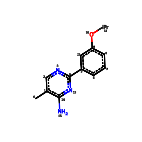 Cc1cnc(-c2cccc(OC(C)C)c2)nc1N